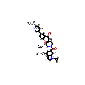 COc1cc(C(=O)N2CCC3(CC2)CC(=O)c2cc(-c4ccc(C(=O)[O-])nc4)ccc2O3)cc2c1ccn2C1CC1.[Na+]